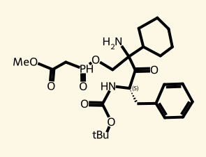 COC(=O)C[PH](=O)OCC(N)(C(=O)[C@H](Cc1ccccc1)NC(=O)OC(C)(C)C)C1CCCCC1